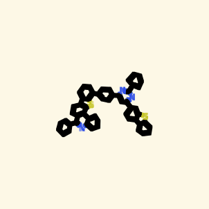 c1ccc(-c2nc(-c3ccc(-c4cccc5c4sc4c5ccc5c(-c6ccccc6)nc6ccccc6c54)cc3)cc(-c3ccc4c(c3)sc3ccccc34)n2)cc1